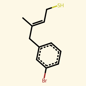 CC(=CCS)Cc1cccc(Br)c1